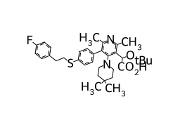 Cc1nc(C)c(C(OC(C)(C)C)C(=O)O)c(N2CCC(C)(C)CC2)c1-c1ccc(SCCc2ccc(F)cc2)cc1